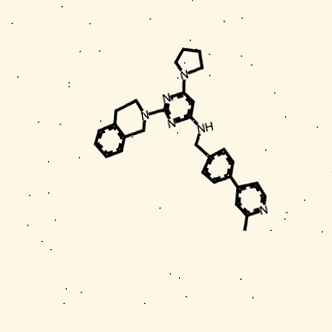 Cc1cc(-c2ccc(CNc3cc(N4CCCC4)nc(N4CCc5ccccc5C4)n3)cc2)ccn1